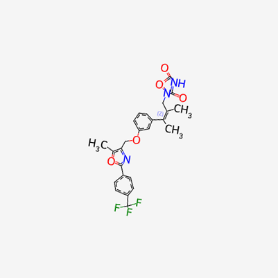 C/C(Cn1oc(=O)[nH]c1=O)=C(\C)c1cccc(OCc2nc(-c3ccc(C(F)(F)F)cc3)oc2C)c1